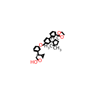 CC1(c2cccc(-c3ccc(COc4cccc([C@H](CC(=O)O)C5CC5)c4)cc3[C@@H]3CCCC3(C)C)c2)OCCO1